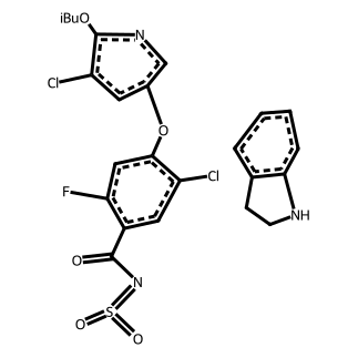 CC(C)COc1ncc(Oc2cc(F)c(C(=O)N=S(=O)=O)cc2Cl)cc1Cl.c1ccc2c(c1)CCN2